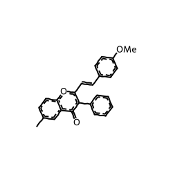 COc1ccc(C=Cc2oc3ccc(C)cc3c(=O)c2-c2ccccc2)cc1